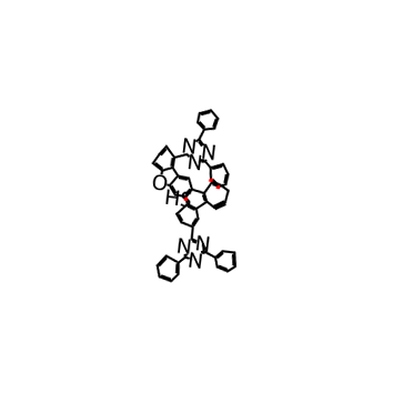 Sc1ccc(-c2nc(-c3ccccc3)nc(-c3ccccc3)n2)cc1C1=C(c2ccc3oc4cccc(-c5nc(-c6ccccc6)nc(-c6ccccc6)n5)c4c3c2)C=CCC#C1